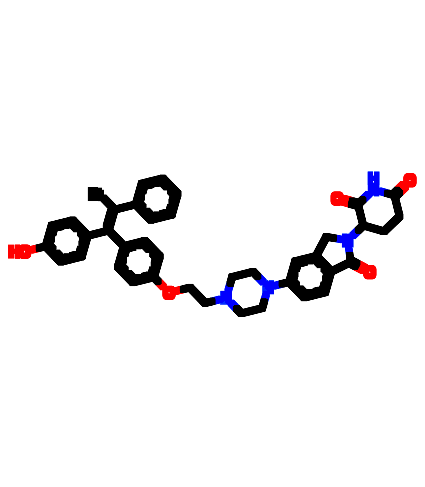 CCC(=C(c1ccc(O)cc1)c1ccc(OCCN2CCN(c3ccc4c(c3)CN(C3CCC(=O)NC3=O)C4=O)CC2)cc1)c1ccccc1